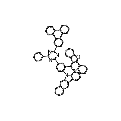 c1ccc(-c2nc(-c3ccc(-n4c5ccccc5c5cc6ccccc6cc54)c(-c4cc5ccccc5c5oc6ccccc6c45)c3)nc(-c3ccc4c5ccccc5c5ccccc5c4c3)n2)cc1